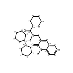 Cn1c(=O)c(CN(CC2(N3CCCCC3)CCCCC2)C(=O)C2CCCCC2)cc2ccccc21